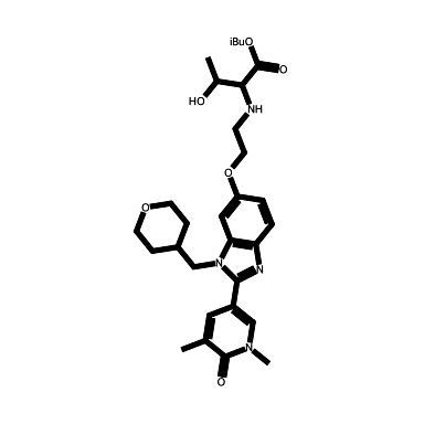 Cc1cc(-c2nc3ccc(OCCNC(C(=O)OCC(C)C)C(C)O)cc3n2CC2CCOCC2)cn(C)c1=O